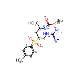 Cc1ccc(S(=O)(=O)C(CNC(=N)N)C[C@H](NC(=O)OC(C)(C)C)C(=O)O)cc1